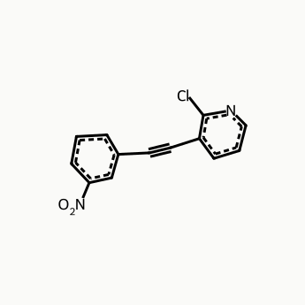 O=[N+]([O-])c1cccc(C#Cc2cccnc2Cl)c1